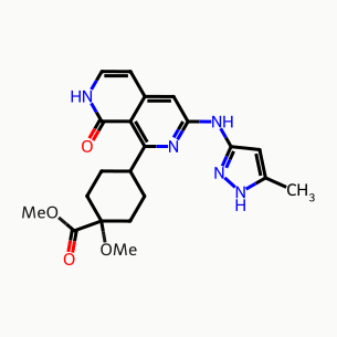 COC(=O)C1(OC)CCC(c2nc(Nc3cc(C)[nH]n3)cc3cc[nH]c(=O)c23)CC1